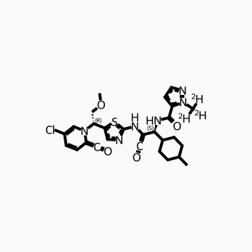 [2H]C([2H])([2H])n1nccc1C(=O)N[C@H](C(=C=O)Nc1ncc([C@@H](COC)N2C=C(Cl)C=CC2=C=O)s1)C1CCC(C)CC1